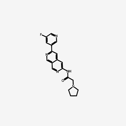 O=C(CN1CCCC1)Nc1cc2cc(-c3cncc(F)c3)ncc2cn1